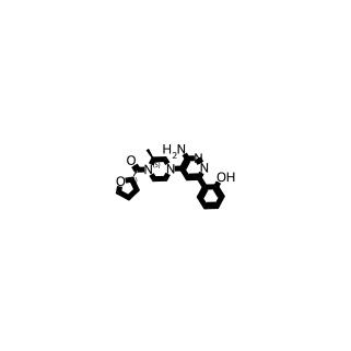 C[C@H]1CN(c2cc(-c3ccccc3O)nnc2N)CCN1C(=O)[C@@H]1CCCO1